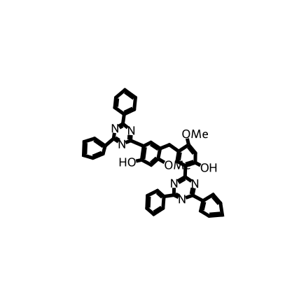 COc1cc(O)c(-c2nc(-c3ccccc3)nc(-c3ccccc3)n2)cc1Cc1cc(-c2nc(-c3ccccc3)nc(-c3ccccc3)n2)c(O)cc1OC